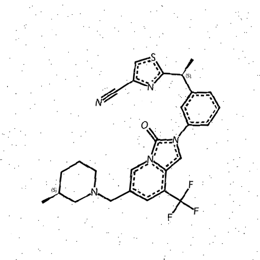 C[C@H]1CCCN(Cc2cc(C(F)(F)F)c3cn(-c4cccc([C@H](C)c5nc(C#N)cs5)c4)c(=O)n3c2)C1